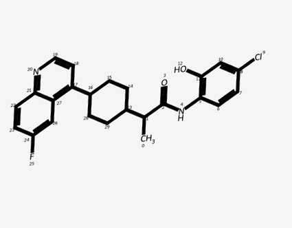 CC(C(=O)Nc1ccc(Cl)cc1O)C1CCC(c2ccnc3ccc(F)cc23)CC1